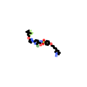 CC1(C)CC(CCCCOc2ccc(S(=O)(=O)NC(=O)c3ccc(-n4ccc(OCCC5(C(F)(F)F)CC5)n4)nc3Cl)cc2)CN1